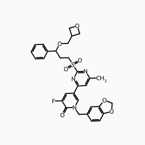 Cc1cc(-c2cc(F)c(=O)n(Cc3ccc4c(c3)OCO4)c2)nc(S(=O)(=O)CCC(OCC2COC2)c2ccccc2)n1